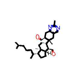 Cc1ncc2c(n1)C[C@H](C=O)[C@@](C)([C@H]1CC[C@]3(C)[C@@H](C(C)CCCC(C)C)CC[C@H]3[C@@H]1C=O)C2